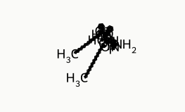 C#C[C@]1(COP(=O)(N[C@@H](Cc2ccccc2)C(=O)OCCCCCCCCCCCCCCCC)Oc2ccccc2)O[C@@H](n2cnc3c(N)nc(F)nc32)C[C@@H]1OC(=O)CCCCCCCCCCCCCCCCCCC